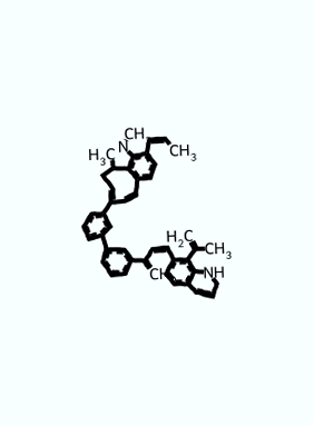 C=Nc1c(/C=C\C)ccc2c1C(C)C/C=C(c1cccc(-c3cccc(C(=C)/C=C\c4ccc5c(c4C(=C)C)NCC=C5)c3)c1)/C=C\2